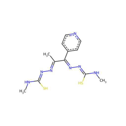 CN/C(S)=N/N=C(C)/C(=N/N=C(\S)NC)c1ccncc1